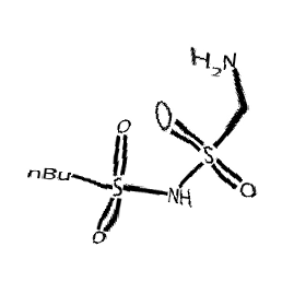 CCCCS(=O)(=O)NS(=O)(=O)CN